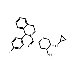 N[C@H]1C[C@H](C(=O)N2CCc3ccccc3[C@@H]2c2ccc(F)cc2)OC[C@@H]1OC1CC1